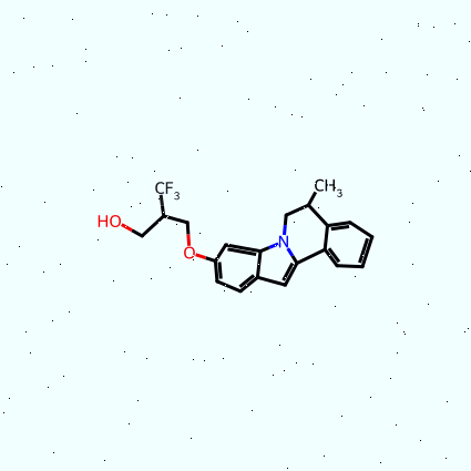 CC1Cn2c(cc3ccc(OCC(CO)C(F)(F)F)cc32)-c2ccccc21